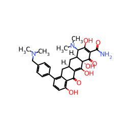 CN(C)Cc1ccc(-c2ccc(O)c3c2C[C@H]2C[C@H]4[C@@H](N(C)C)C(O)=C(C(N)=O)C(=O)[C@@]4(O)C(O)=C2C3=O)cc1